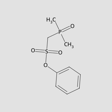 CP(C)(=O)CS(=O)(=O)Oc1ccccc1